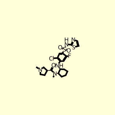 CN1CC[C@H](C(=O)N(C)[C@H]2CCCC[C@@H]2Nc2cc(F)c(S(=O)(=O)Nc3nccs3)cc2Cl)C1